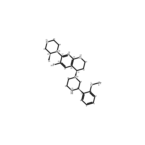 CC(C)Oc1ccccc1[C@@H]1CN([C@@H]2CCOc3nc(N4CCOC[C@@H]4C)c(F)cc32)CCN1